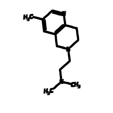 Cc1cnc2c(c1)CN(CCN(C)C)CC2